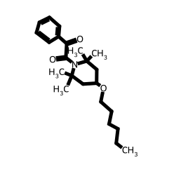 CCCCCCOC1CC(C)(C)N(C(=O)C(=O)c2ccccc2)C(C)(C)C1